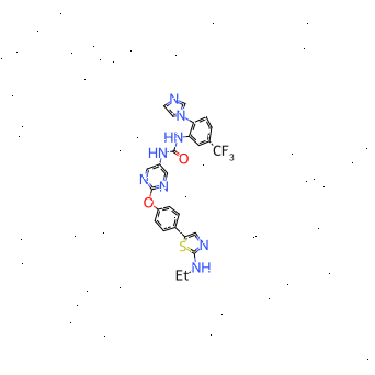 CCNc1ncc(-c2ccc(Oc3ncc(NC(=O)Nc4cc(C(F)(F)F)ccc4-n4ccnc4)cn3)cc2)s1